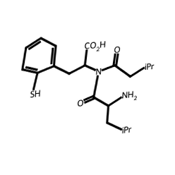 CC(C)CC(=O)N(C(=O)C(N)CC(C)C)C(Cc1ccccc1S)C(=O)O